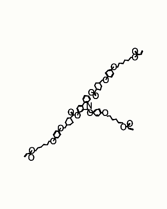 C=CC(=O)OCCCCCCOc1ccc(OCC2CCC(C(=O)Oc3ccc4c(c3)nc(Oc3ccc(OCCCCCCOC(=O)C=C)cc3)c3cc(OC(=O)C5CCC(COc6ccc(OCCCCCCOC(=O)C=C)cc6)CC5)ccc34)CC2)cc1